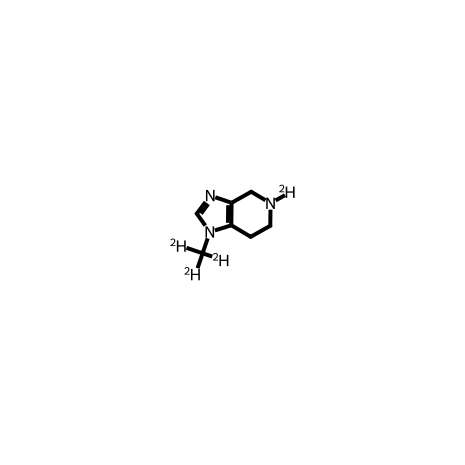 [2H]N1CCc2c(ncn2C([2H])([2H])[2H])C1